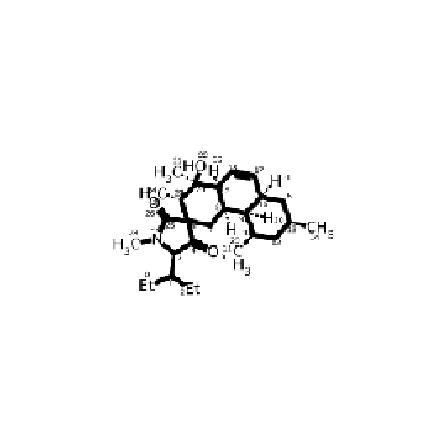 CCC(CC)[C@@H]1C(=O)C2(C[C@@H]3[C@@H]4[C@H](C)C[C@H](C)C[C@@H]4C=C[C@@H]3[C@](C)(O)[C@H]2C)C(=O)N1C